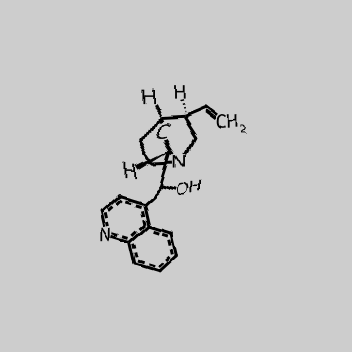 C=C[C@H]1CN2CC[C@H]1C[C@H]2C(O)c1ccnc2ccccc12